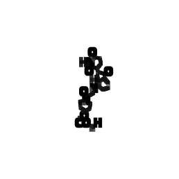 O=C(O)COC1CCN(C(=O)CNc2cccc3c2CC(C2CCC(=O)NC2=O)C3=O)CC1